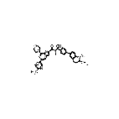 CC(=O)N1c2ccc(-c3ccc([C@H](C)NC(=O)c4cn5cc(-c6cnc(N)nc6)nc(N6CCOCC6)c5n4)cc3)cc2CC[C@@H]1C